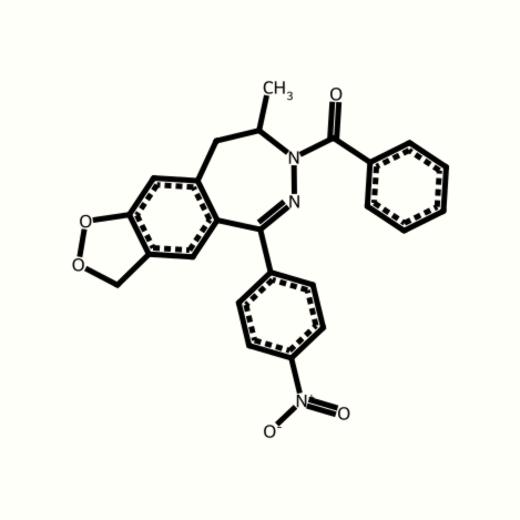 CC1Cc2cc3c(cc2C(c2ccc([N+](=O)[O-])cc2)=NN1C(=O)c1ccccc1)COO3